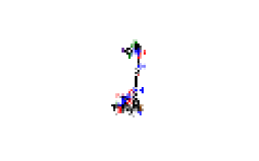 Cc1ncsc1-c1ccc([C@H](CC(=O)NCCCCCCCCCNCCCONC(=O)c2ccc(F)c(F)c2Nc2ccc(I)cc2F)NC(=O)[C@@H]2C[C@@H](O)CN2C(=O)[C@H](NC(=O)C2(F)CC2)C(C)(C)C)cc1